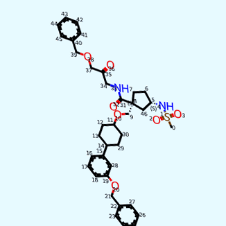 CS(=O)(=O)N[C@H]1CC[C@](COC2CCC(c3cccc(OCc4ccccc4)c3)CC2)(C(=O)NCC(=O)COCc2ccccc2)C1